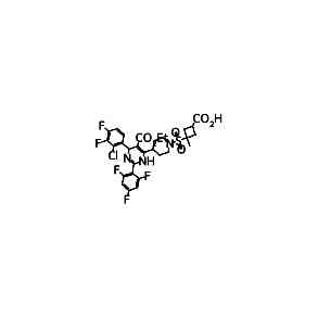 CCOC(=O)C1=C(C2CCN(S(=O)(=O)C3(C)CC(C(=O)O)C3)CC2)NC(c2c(F)cc(F)cc2F)=NC1c1ccc(F)c(F)c1Cl